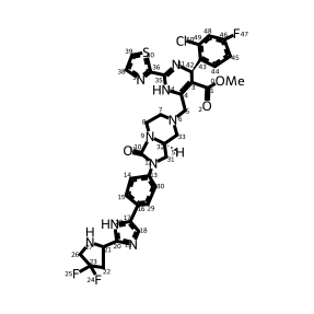 COC(=O)C1=C(CN2CCN3C(=O)N(c4ccc(-c5cnc(C6CC(F)(F)CN6)[nH]5)cc4)C[C@@H]3C2)NC(c2nccs2)=N[C@H]1c1ccc(F)cc1Cl